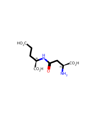 N[C@@H](CC(=O)N[C@H](CCC(=O)O)C(=O)O)C(=O)O